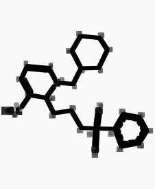 O=C(O)C1=CC=CN(CC2CCCCC2)C1CCCS(=O)(=O)c1ccccc1